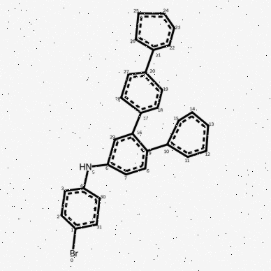 Brc1ccc(Nc2ccc(-c3ccccc3)c(-c3ccc(-c4ccccc4)cc3)c2)cc1